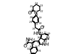 NC(=O)/C(=C/c1c[nH]c2nccc(NC(=O)Cc3ccc(N4CCCCC4=O)cc3)c12)c1ccccc1